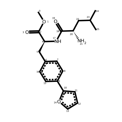 COC(=O)[C@H](Cc1ccc(-c2ccco2)cc1)NC(=O)[C@@H](N)CC(C)C